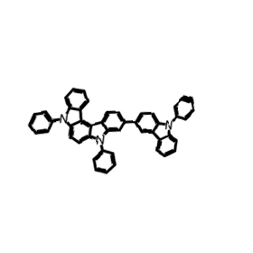 c1ccc(-n2c3ccccc3c3cc(-c4ccc5c6c7c8ccccc8n(-c8ccccc8)c7ccc6n(-c6ccccc6)c5c4)ccc32)cc#1